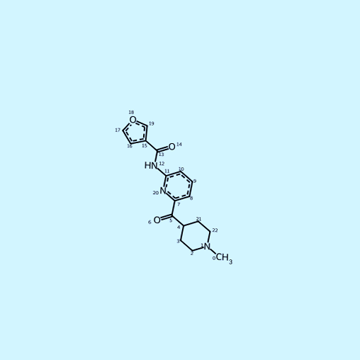 CN1CCC(C(=O)c2cccc(NC(=O)c3ccoc3)n2)CC1